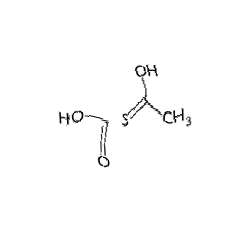 CC(O)=S.O=CO